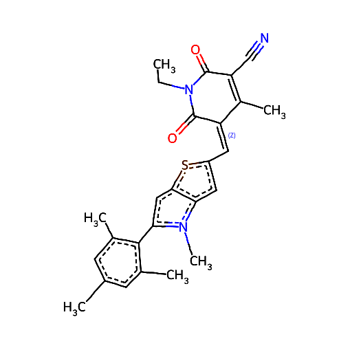 CCN1C(=O)C(C#N)=C(C)/C(=C/c2cc3c(cc(-c4c(C)cc(C)cc4C)n3C)s2)C1=O